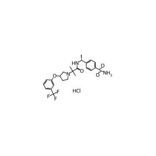 C[C@H](NC(=O)C(C)(C)N1CCC(Oc2cccc(C(F)(F)F)c2)C1)c1ccc(S(N)(=O)=O)cc1.Cl